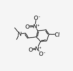 CN(C)C=Cc1c([N+](=O)[O-])cc(Cl)cc1[N+](=O)[O-]